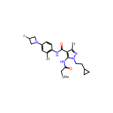 CCc1cc(N2CC(F)C2)ccc1NC(=O)c1c(CC)nn(CCC2CC2)c1NC(=O)CSC